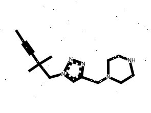 CC#CC(C)(C)Cn1cc(CN2CCNCC2)nn1